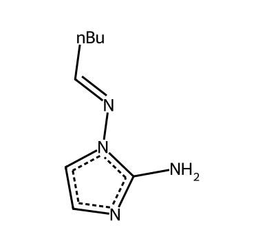 CCCCC=Nn1ccnc1N